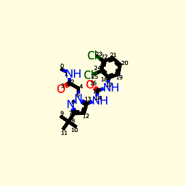 CNC(=O)Cn1nc(C(C)(C)C)cc1NC(=O)Nc1cccc(Cl)c1Cl